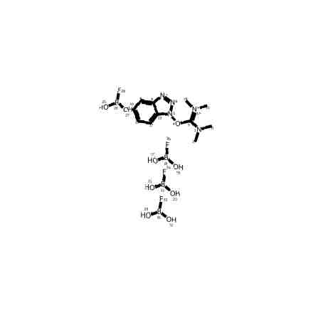 CN(C)C(On1nnc2ccccc21)=[N+](C)C.OB(O)F.OB(O)F.OB(O)F.OB(O)F